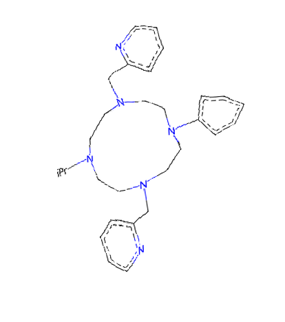 CC(C)N1CCN(Cc2ccccn2)CCN(c2ccccc2)CCN(Cc2ccccn2)CC1